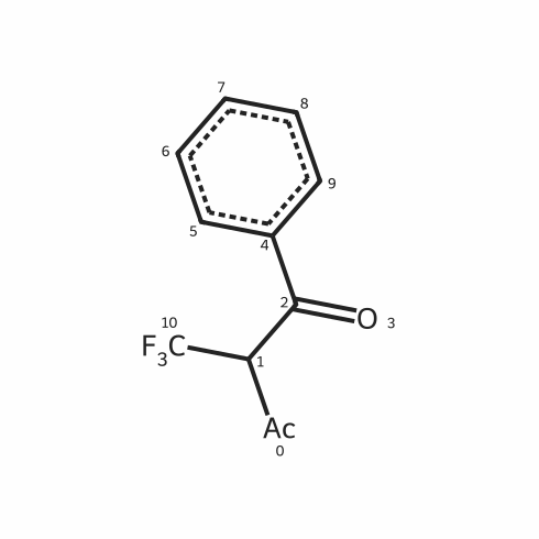 CC(=O)C(C(=O)c1ccccc1)C(F)(F)F